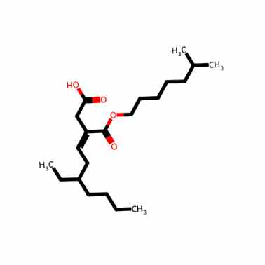 CCCCC(CC)CC=C(CC(=O)O)C(=O)OCCCCCC(C)C